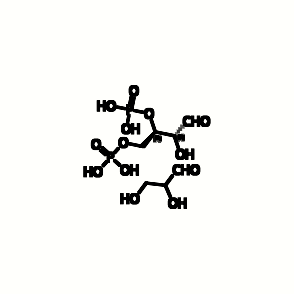 O=CC(O)CO.O=C[C@H](O)[C@@H](COP(=O)(O)O)OP(=O)(O)O